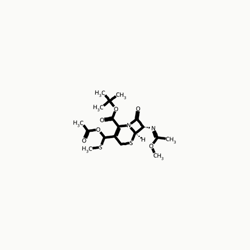 COC(C)=N[C@H]1C(=O)N2C(C(=O)OC(C)(C)C)=C(C(OC(C)=O)SC)CS[C@H]12